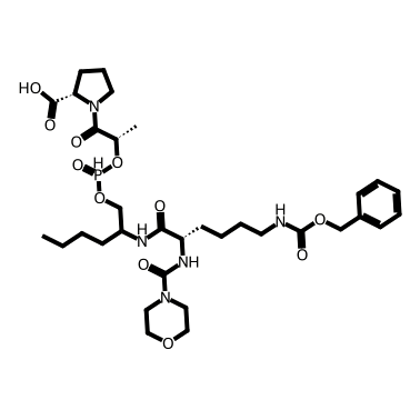 CCCCC(CO[PH](=O)O[C@@H](C)C(=O)N1CCC[C@H]1C(=O)O)NC(=O)[C@H](CCCCNC(=O)OCc1ccccc1)NC(=O)N1CCOCC1